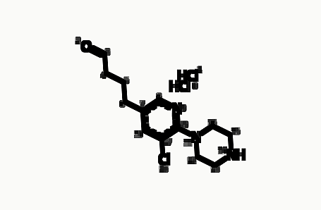 Cl.Cl.O=CCCCc1cnc(N2CCNCC2)c(Cl)c1